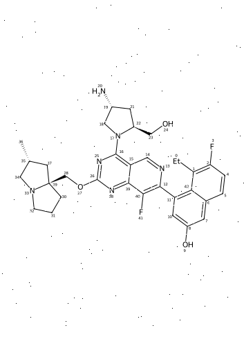 CCc1c(F)ccc2cc(O)cc(-c3ncc4c(N5C[C@H](N)C[C@H]5CO)nc(OC[C@@]56CCCN5C[C@H](C)C6)nc4c3F)c12